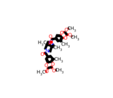 COC1Oc2cc(C(=O)N3CC4(C)CN(C(=O)c5cc(C)c6c(c5)OC(OC)C(OC)O6)CC(C)(C3)C4=O)cc(C)c2OC1OC